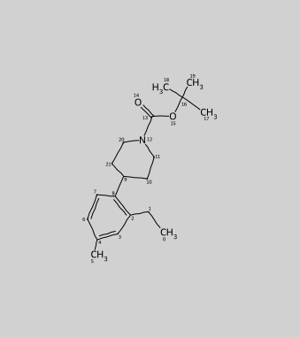 CCc1cc(C)ccc1C1CCN(C(=O)OC(C)(C)C)CC1